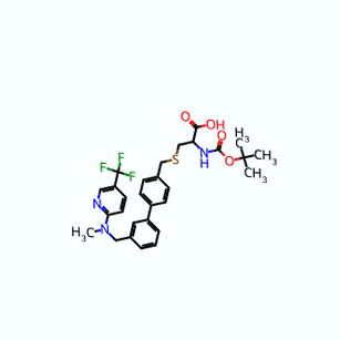 CN(Cc1cccc(-c2ccc(CSCC(NC(=O)OC(C)(C)C)C(=O)O)cc2)c1)c1ccc(C(F)(F)F)cn1